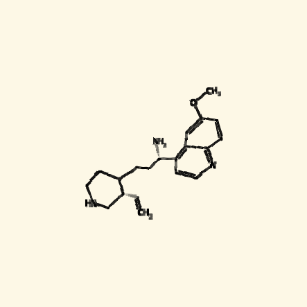 C=C[C@@H]1CNCCC1CC[C@H](N)c1ccnc2ccc(OC)cc12